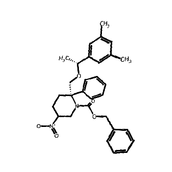 Cc1cc(C)cc([C@@H](C)OC[C@@]2(c3ccccc3)CCC([N+](=O)[O-])CN2C(=O)OCc2ccccc2)c1